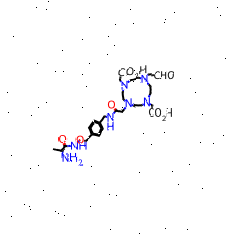 CC(N)C(=O)NOCc1ccc(CNC(=O)CN2CCN(CC(=O)O)CCN(CC=O)CCN(CC(=O)O)CC2)cc1